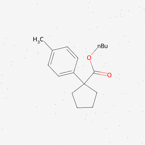 CCCCOC(=O)C1(c2ccc(C)cc2)CCCC1